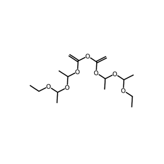 C=C(OC(=C)OC(C)OC(C)OCC)OC(C)OC(C)OCC